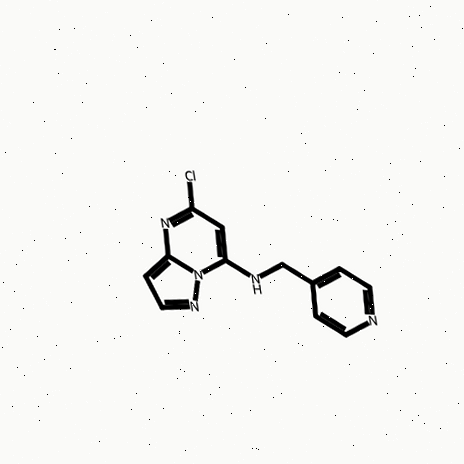 Clc1cc(NCc2ccncc2)n2nccc2n1